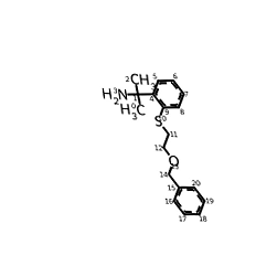 CC(C)(N)c1ccccc1SCCOCc1ccccc1